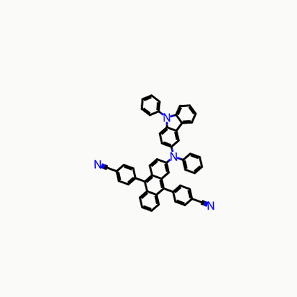 N#Cc1ccc(-c2c3ccccc3c(-c3ccc(C#N)cc3)c3cc(N(c4ccccc4)c4ccc5c(c4)c4ccccc4n5-c4ccccc4)ccc23)cc1